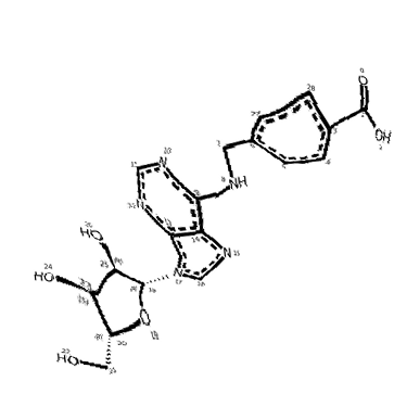 O=C(O)c1ccc(CNc2ncnc3c2ncn3[C@@H]2O[C@H](CO)[C@@H](O)[C@H]2O)cc1